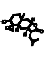 CN(C)C[C@@H]1C(=O)O[C@@H]2C[C@@]3(C)CC[C@@H](O)[C@]4(CO4)[C@@H]3C[C@H]12